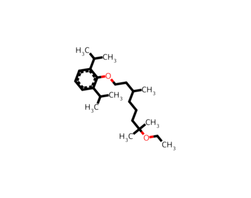 CCOC(C)(C)CCCC(C)CCOc1c(C(C)C)cccc1C(C)C